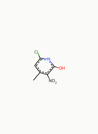 Cc1cc(Cl)nc(O)c1[N+](=O)[O-]